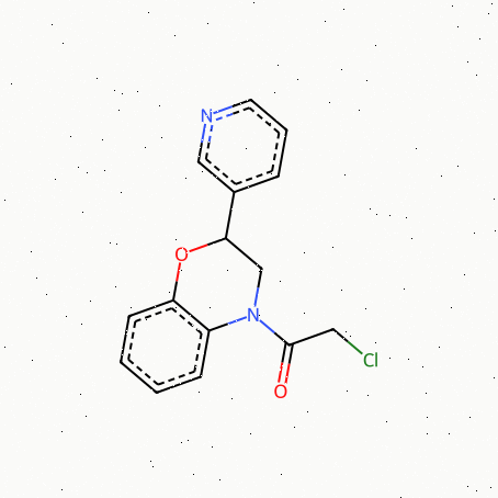 O=C(CCl)N1CC(c2cccnc2)Oc2ccccc21